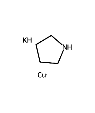 C1CCNC1.[Cu].[KH]